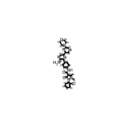 Cc1c(C(=O)Nc2ccc(-c3nc(-c4cncc(N5CCOCC5)n4)cnc3N)cc2)c(=O)n(-c2ccccc2Cl)n1C